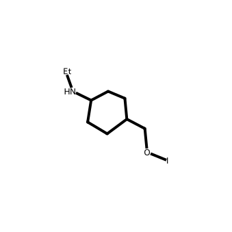 CCNC1CCC(COI)CC1